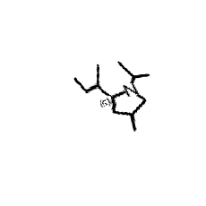 CCC(C)[C@@H]1CC(C)CN1C(C)C